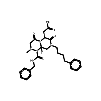 CN1CC(=O)N2[C@@H](CC(=O)O)C(=O)N(CCCCc3ccccc3)C[C@@H]2N1C(=O)NCc1ccccc1